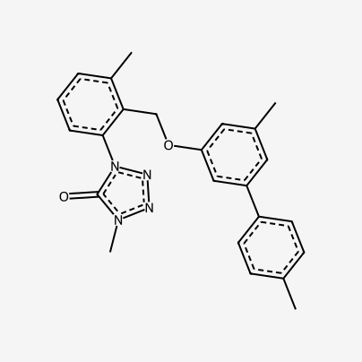 Cc1ccc(-c2cc(C)cc(OCc3c(C)cccc3-n3nnn(C)c3=O)c2)cc1